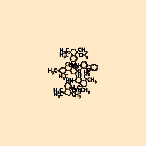 Cc1cc(C)c(-c2cc(-c3cc4c(cc3Nc3ccc5c(c3)C(C)(C)CCC5(C)C)C(C)(C)CCC4(C)C)c3c(c2)N(c2cc4c(cc2C)C(C)(C)CCC4(C)C)c2ccc4c(sc5ccccc54)c2B3)c(C)c1